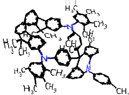 C=C(/C=C\C(=C/C)N(c1ccc2c(c1)C(C)(C)c1ccccc1-2)c1cc(C)c(C)c(C)c1C)C1(c2ccc(N(c3ccc4c(c3)C(C)(C)c3ccccc3-4)c3cc(C)c(C)c(C)c3C)cc2)c2ccccc2N(c2ccc(C)cc2)c2ccc(C)cc21